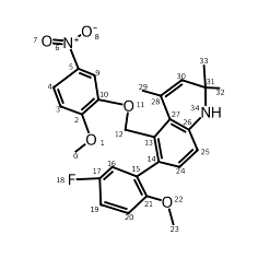 COc1ccc([N+](=O)[O-])cc1OCc1c(-c2cc(F)ccc2OC)ccc2c1C(C)=CC(C)(C)N2